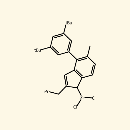 Cc1ccc2c(c1-c1cc(C(C)(C)C)cc(C(C)(C)C)c1)C=C(CC(C)C)[CH]2[Zr]([Cl])[Cl]